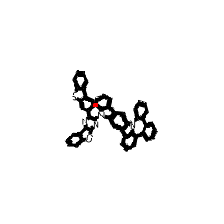 c1ccc2c(c1)-c1ccccc1-n1c3cc4c5ccccc5n(-c5nc6oc7ccccc7c6nc5-c5ccc6c(c5)sc5ccccc56)c4cc3c3cccc-2c31